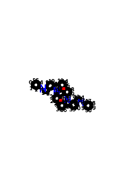 c1ccc(-n2ccc3c2ccc2c4ccccc4n(-c4ccccc4-c4ccccc4-n4c5ccccc5c5ccc6c(ccn6-c6ccccc6)c54)c23)cc1